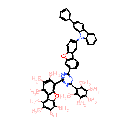 Bc1c(B)c(B)c(-c2nc(-c3ccc4c(c3)oc3ccc(-n5c6ccccc6c6ccc(-c7ccccc7)cc65)cc34)nc(-c3c(B)c(B)c(B)c4c3oc3c(B)c(B)c(B)c(B)c34)n2)c(B)c1B